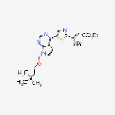 CCCC(=CC(=O)OCC)c1ncc(-c2ncnc3c2ccn3COCC[Si](C)(C)C)s1